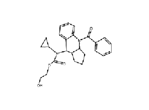 O=C(c1ccccc1)N1c2ccccc2C(N(C(=O)OCCO)C2CC2)C2CCCC21